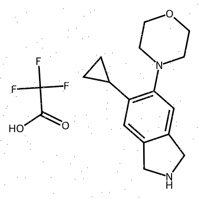 O=C(O)C(F)(F)F.c1c2c(cc(N3CCOCC3)c1C1CC1)CNC2